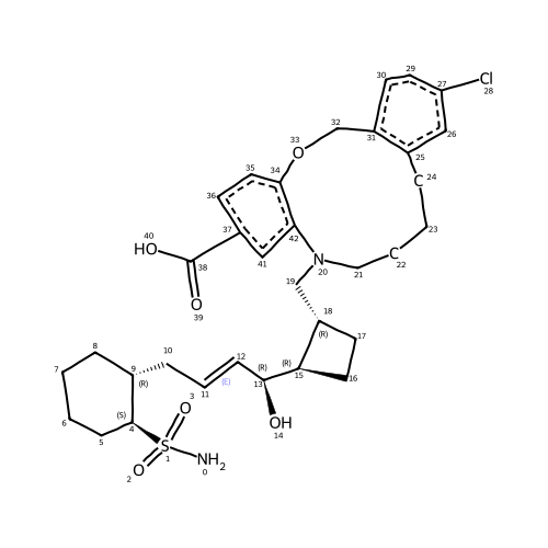 NS(=O)(=O)[C@H]1CCCC[C@@H]1C/C=C/[C@H](O)[C@@H]1CC[C@H]1CN1CCCCc2cc(Cl)ccc2COc2ccc(C(=O)O)cc21